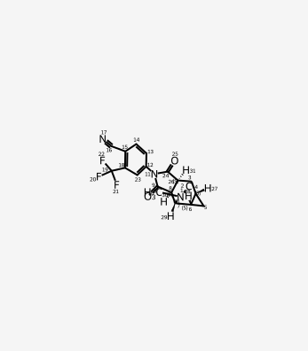 CN1CC2[C@@H]3C[C@@H]3[C@@H]1[C@H]1C(=O)N(c3ccc(C#N)c(C(F)(F)F)c3)C(=O)[C@@H]21